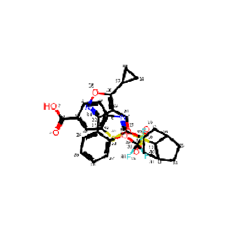 O=C(O)c1ccc2nc(S(=O)(=O)C3C4CCC3CC(OCc3c(-c5ccccc5OC(F)(F)F)noc3C3CC3)C4)sc2c1